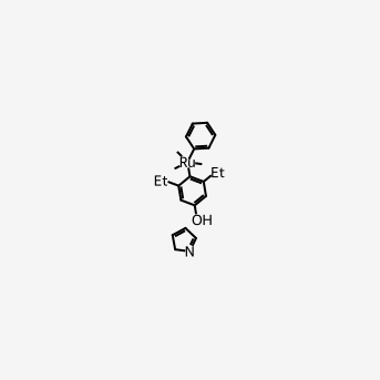 C1=CCN=C1.CCc1cc(O)cc(CC)[c]1[Ru]([CH3])([CH3])([CH3])[c]1ccccc1